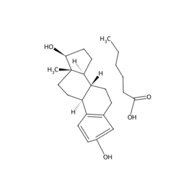 CCCCCC(=O)O.C[C@]12CC[C@@H]3c4ccc(O)cc4CC[C@H]3[C@@H]1CC[C@@H]2O